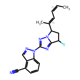 C/C=C\C=C(/C)C1CC(F)c2nc(-n3ncc4c(C#N)cccc43)nn21